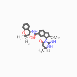 CCC1(C)CC(=O)N(C2c3cc(C(=O)N[C@@H]4c5ccccc5OC(C)(C)[C@H]4O)ccc3CC2OC)C(=N)N1